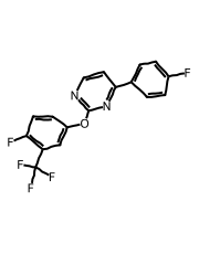 Fc1ccc(-c2ccnc(Oc3ccc(F)c(C(F)(F)F)c3)n2)cc1